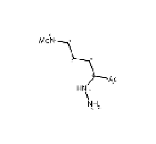 CNCCCC(NN)C(C)=O